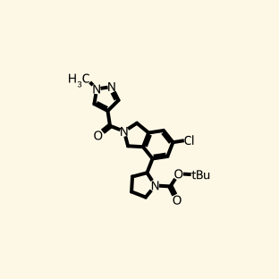 Cn1cc(C(=O)N2Cc3cc(Cl)cc(C4CCCN4C(=O)OC(C)(C)C)c3C2)cn1